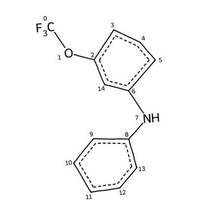 FC(F)(F)Oc1cccc(Nc2ccccc2)c1